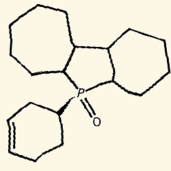 O=[P@]1(C2CC=CCC2)C2CCCCCC2C2CCCCC21